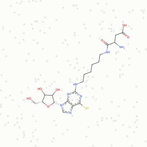 NC(CC(=O)O)C(=O)NCCCCCCNc1nc(S)c2ncn([C@@H]3O[C@H](CO)C(O)C3O)c2n1